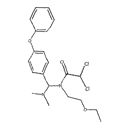 CCOCCN(C(=O)C(Cl)Cl)C(c1ccc(Oc2ccccc2)cc1)N(C)C